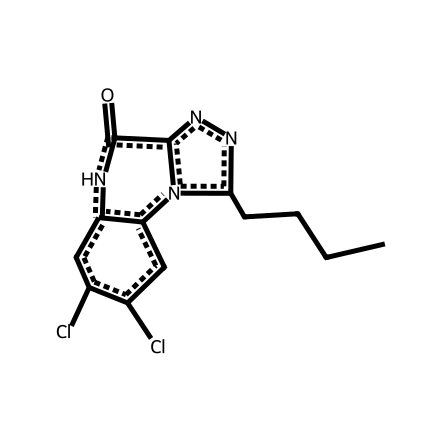 CCCCc1nnc2c(=O)[nH]c3cc(Cl)c(Cl)cc3n12